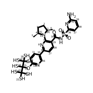 C[C@@H]1CC[C@H](C)N1c1nc(-c2ccc(OC(S)(C(S)(S)S)C(S)(S)S)nc2)ccc1C(=O)NS(=O)(=O)c1cccc(N)n1